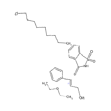 CCCCCCCCCCl.CCOCC.O=C1NS(=O)(=O)c2ccccc21.OC/C=C/c1ccccc1